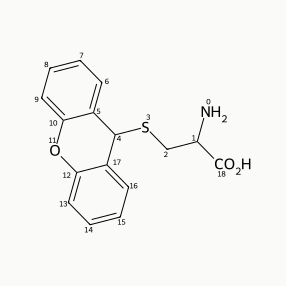 NC(CSC1c2ccccc2Oc2ccccc21)C(=O)O